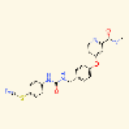 CNC(=O)c1cc(Oc2ccc(CNC(=O)Nc3ccc(SC#N)cc3)cc2)ccn1